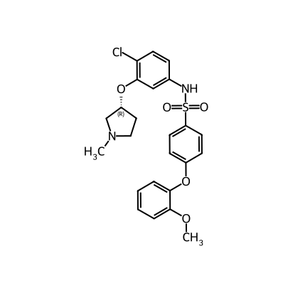 COc1ccccc1Oc1ccc(S(=O)(=O)Nc2ccc(Cl)c(O[C@@H]3CCN(C)C3)c2)cc1